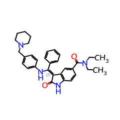 CCN(CC)C(=O)c1ccc2c(c1)/C(=C(/Nc1ccc(CN3CCCCC3)cc1)c1ccccc1)C(=O)N2